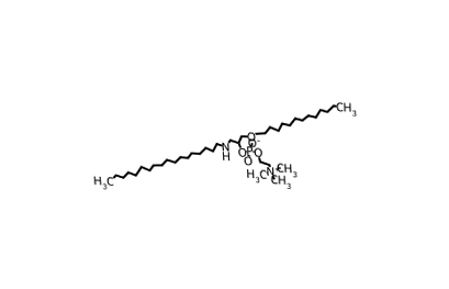 CCCCCCCCCCCCCCCCCCNCC(COCCCCCCCCCCCCCC)OP(=O)([O-])OCC[N+](C)(C)C